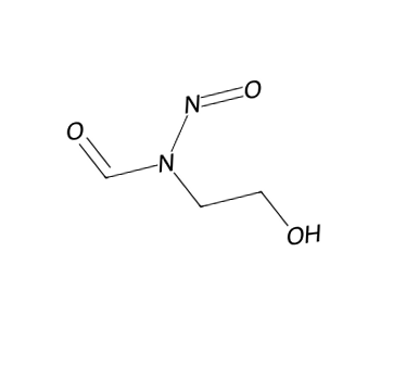 O=CN(CCO)N=O